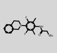 Cc1c(F)c(N2CCc3ccccc3C2)c(F)c(C)c1NC(=O)CC(C)(C)C